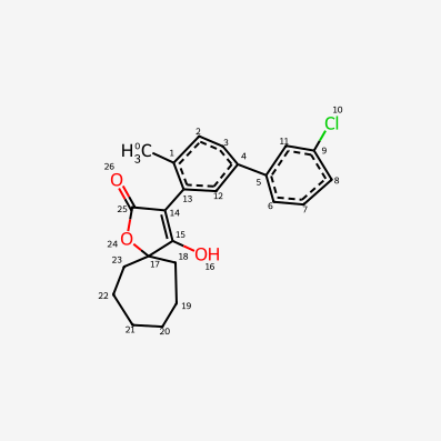 Cc1ccc(-c2cccc(Cl)c2)cc1C1=C(O)C2(CCCCCC2)OC1=O